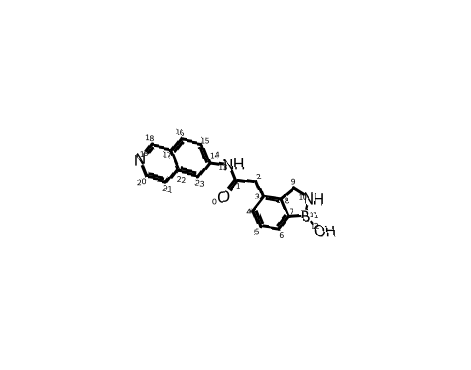 O=C(Cc1cccc2c1CNB2O)Nc1ccc2cnccc2c1